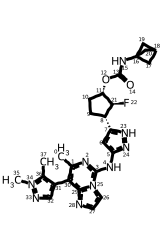 Cc1nc(Nc2cc([C@@H]3CC[C@H](OC(=O)NC45CC(C4)C5)[C@H]3F)[nH]n2)n2ccnc2c1-c1cnn(C)c1C